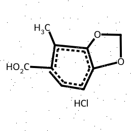 Cc1c(C(=O)O)ccc2c1OCO2.Cl